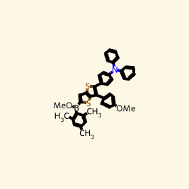 COB(c1cc2sc(-c3ccc(N(c4ccccc4)c4ccccc4)cc3)c(-c3ccc(OC)cc3)c2s1)c1c(C)cc(C)cc1C